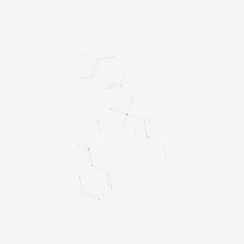 C[C@H](CC(Cc1ccc(O)c(O)c1)(NC(=O)OC(C)(C)C)C(=O)O)OC(=O)c1ccccc1